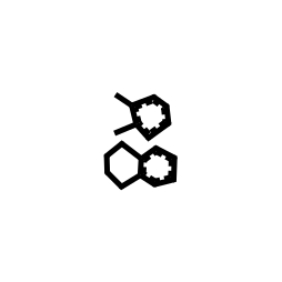 Cc1ccccc1C.c1ccc2c(c1)CCCC2